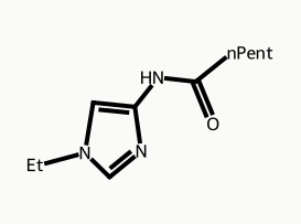 [CH2]Cn1cnc(NC(=O)CCCCC)c1